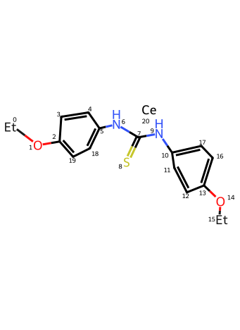 CCOc1ccc(NC(=S)Nc2ccc(OCC)cc2)cc1.[Ce]